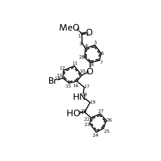 COC(=O)Cc1cccc(Oc2ccc(Br)cc2CNCC(O)c2ccccc2)c1